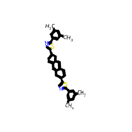 Cc1cc(C)cc(-c2ncc(-c3ccc4cc5cc(-c6cnc(-c7cc(C)cc(C)c7)s6)ccc5cc4c3)s2)c1